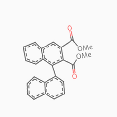 COC(=O)c1cc2ccccc2c(-c2cccc3ccccc23)c1C(=O)OC